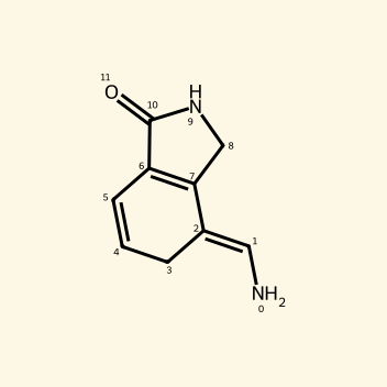 NC=C1CC=CC2=C1CNC2=O